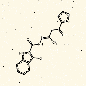 O=C(C/C(=N/NC(=O)c1[nH]c2ccccc2c1Cl)C(F)(F)F)c1cccs1